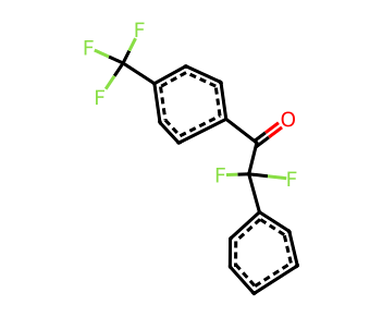 O=C(c1ccc(C(F)(F)F)cc1)C(F)(F)c1ccccc1